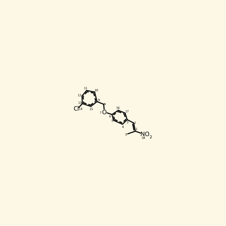 C/C(=C\c1ccc(OCc2cccc(Cl)c2)cc1)[N+](=O)[O-]